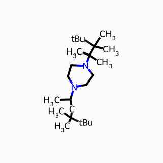 CC(CC(C)(C)C(C)(C)C)N1CCN(C(C)(C)C(C)(C)C(C)(C)C)CC1